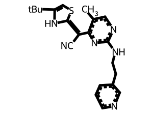 Cc1cnc(NCCc2cccnc2)nc1C(C#N)=C1NC(C(C)(C)C)=CS1